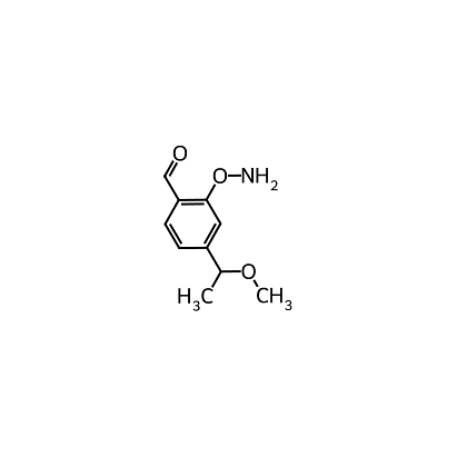 COC(C)c1ccc(C=O)c(ON)c1